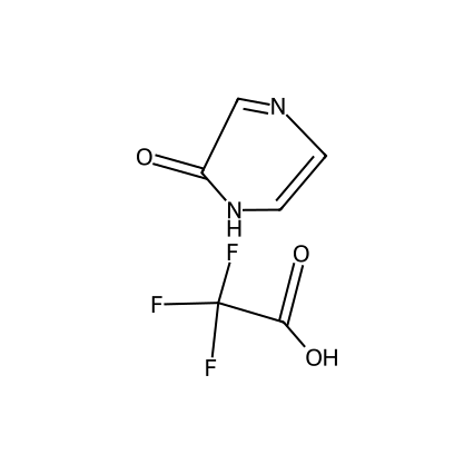 O=C(O)C(F)(F)F.O=c1cncc[nH]1